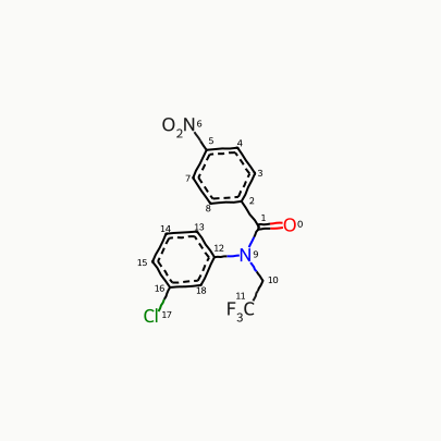 O=C(c1ccc([N+](=O)[O-])cc1)N(CC(F)(F)F)c1cccc(Cl)c1